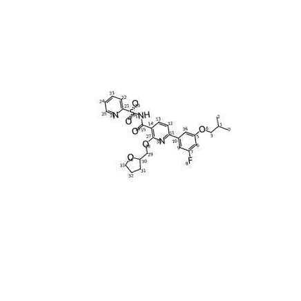 CC(C)COc1cc(F)cc(-c2ccc(C(=O)NS(=O)(=O)c3ccccn3)c(OCC3CCCO3)n2)c1